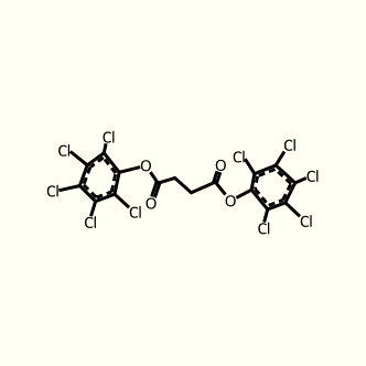 O=C(CCC(=O)Oc1c(Cl)c(Cl)c(Cl)c(Cl)c1Cl)Oc1c(Cl)c(Cl)c(Cl)c(Cl)c1Cl